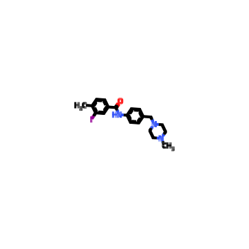 Cc1ccc(C(=O)Nc2ccc(CN3CCN(C)CC3)cc2)cc1I